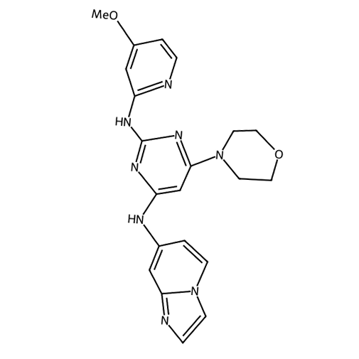 COc1ccnc(Nc2nc(Nc3ccn4ccnc4c3)cc(N3CCOCC3)n2)c1